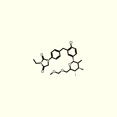 CCN1C(=O)CN(c2ccc(Cc3cc([C@@H]4OC(COCOC)[C@@H](C)[C@H](C)C4C)ccc3Cl)cc2)C1=O